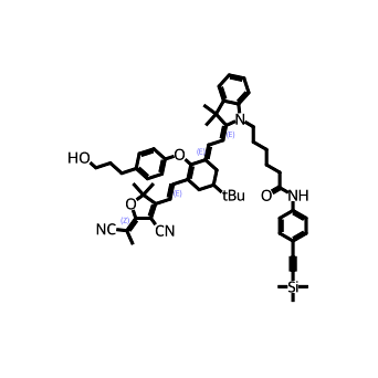 C/C(C#N)=C1/OC(C)(C)C(/C=C/C2=C(Oc3ccc(CCCO)cc3)C(=C/C=C3/N(CCCCCC(=O)Nc4ccc(C#C[Si](C)(C)C)cc4)c4ccccc4C3(C)C)/CC(C(C)(C)C)C2)=C1C#N